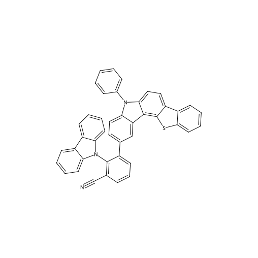 N#Cc1cccc(-c2ccc3c(c2)c2c4sc5ccccc5c4ccc2n3-c2ccccc2)c1-n1c2ccccc2c2ccccc21